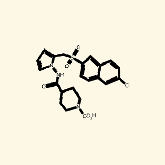 O=C(Nn1cccc1CS(=O)(=O)c1ccc2cc(Cl)ccc2c1)C1CCN(C(=O)O)CC1